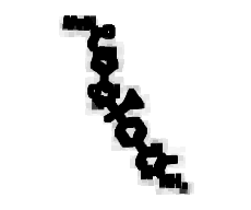 CNC(=O)Cn1cc(-c2nc([C@@](C)(c3ccc(-c4cnc(N)c(C)n4)cc3)C3CC3)no2)cn1